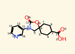 O=C(O)C1CCC2(CC1)CN(c1cccnc1)C(=O)O2